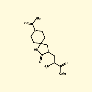 COC(=O)C(N)CC1CC2(CCN(C(=O)C(C)(C)C)CC2)NC1=O